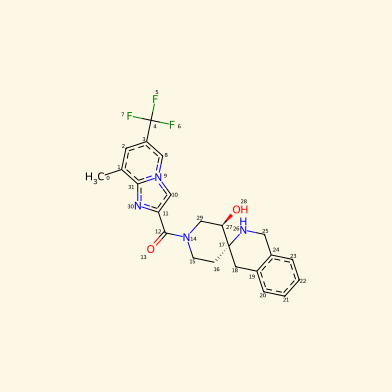 Cc1cc(C(F)(F)F)cn2cc(C(=O)N3CC[C@]4(Cc5ccccc5CN4)[C@H](O)C3)nc12